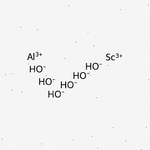 [Al+3].[OH-].[OH-].[OH-].[OH-].[OH-].[OH-].[Sc+3]